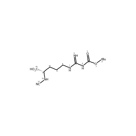 CC(C)(C)OC(=O)NC(=N)NCCC[C@H](NC#N)C(=O)O